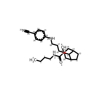 CCCCNC(=O)N(C)C1C2CCC1CN(CCCNc1ccc(C#N)cc1)C2